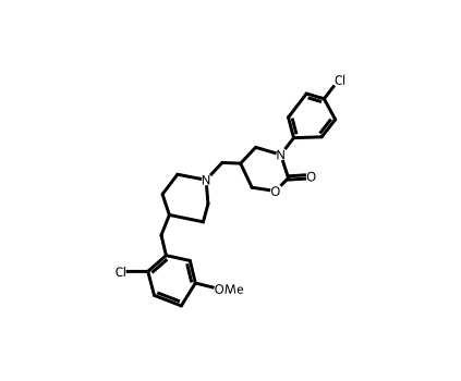 COc1ccc(Cl)c(CC2CCN(CC3COC(=O)N(c4ccc(Cl)cc4)C3)CC2)c1